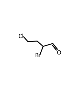 O=CC(Br)CCCl